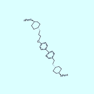 CCCCC[C@H]1CC[C@H](CCCOc2ccc(-c3ccc(CC[C@H]4CC[C@H](CCCCC)CC4)cc3)cc2)CC1